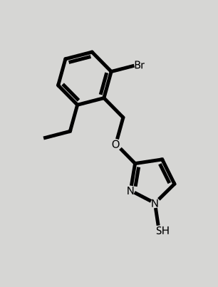 CCc1cccc(Br)c1COc1ccn(S)n1